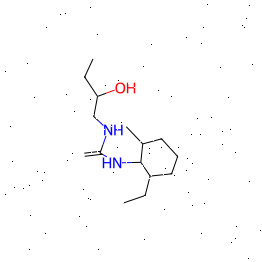 C=C(NCC(O)CC)NC1C(C)CCCC1CC